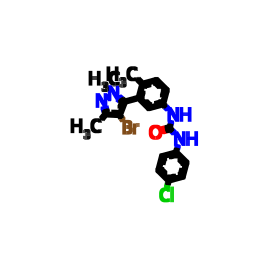 Cc1ccc(NC(=O)Nc2ccc(Cl)cc2)cc1-c1c(Br)c(C)nn1C